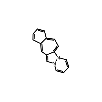 C1=CN2C=C3C=c4ccccc4=CC=C3N2C=C1